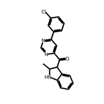 CC1Nc2ccccc2C1C(=O)c1cc(-c2cccc(Cl)c2)ncn1